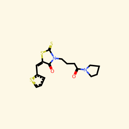 O=C(CCCN1C(=O)/C(=C\c2cccs2)SC1=S)N1CCCC1